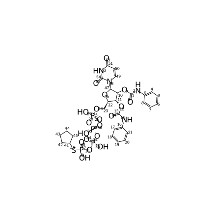 O=C(Nc1ccccc1)OC1[C@@H](OC(=O)Nc2ccccc2)[C@@H](COP(=O)(O)OP(=O)(O)OP(=O)(O)OP(=O)(O)SC2CCCC2)O[C@H]1n1ccc(=O)[nH]c1=O